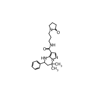 CC1(C)CC(c2ccccc2)Nc2c(C(=O)NCCCN3CCCC3=O)cnn21